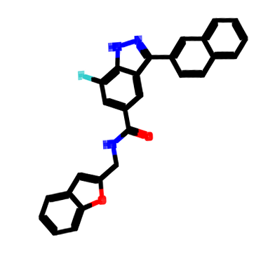 O=C(NCc1cc2ccccc2o1)c1cc(F)c2[nH]nc(-c3ccc4ccccc4c3)c2c1